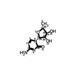 C[C@H]1O[C@@H](N2C=IC(N)=NC2=O)[C@H](O)[C@@H]1O